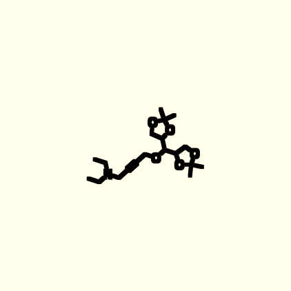 CCN(CC)CC#CCOC(C1COC(C)(C)O1)C1COC(C)(C)O1